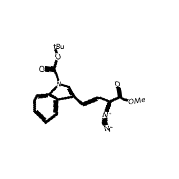 COC(=O)C(/C=C/c1cn(C(=O)OC(C)(C)C)c2ccccc12)=[N+]=[N-]